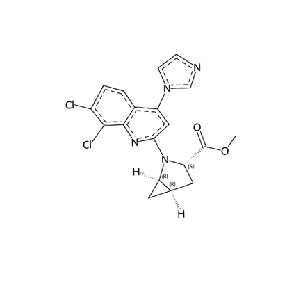 COC(=O)[C@@H]1C[C@H]2C[C@H]2N1c1cc(-n2ccnc2)c2ccc(Cl)c(Cl)c2n1